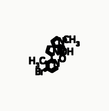 Cc1c(Br)ccnc1[C@H]1CC[C@]2(CCN(C)C2=O)N1C(=O)O